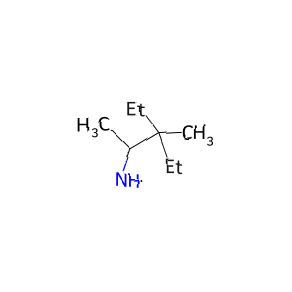 CCC(C)(CC)C(C)[NH]